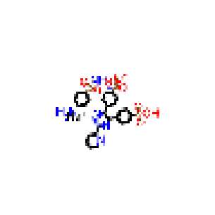 Nc1ccc(S(N)(=O)=O)cc1.O=S(=O)([O-])c1ccc(-c2nnc(-c3ccccn3)nc2-c2ccc(S(=O)(=O)O)cc2)cc1.[Na+]